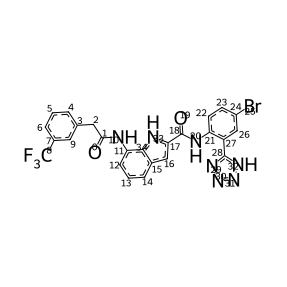 O=C(Cc1cccc(C(F)(F)F)c1)Nc1cccc2cc(C(=O)Nc3ccc(Br)cc3-c3nnn[nH]3)[nH]c12